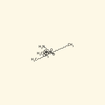 CCCCCCCCCCCCCC(=O)N(CCCCCCCCCCCC)C(=O)[C@H](CCCCN)NC(=O)OC(C)(C)C